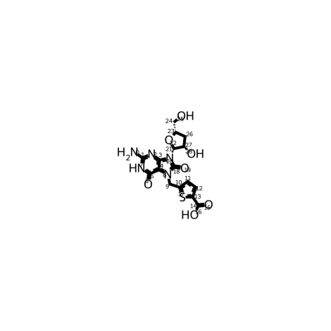 Nc1nc2c(c(=O)[nH]1)n(Cc1ccc(C(=O)O)s1)c(=O)n2[C@@H]1O[C@H](CO)C[C@H]1O